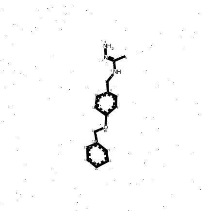 CC(=NN)NCc1ccc(OCc2ccccc2)cc1